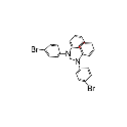 Brc1ccc(N(CN(c2ccccc2)c2ccc(Br)cc2)c2ccccc2)cc1